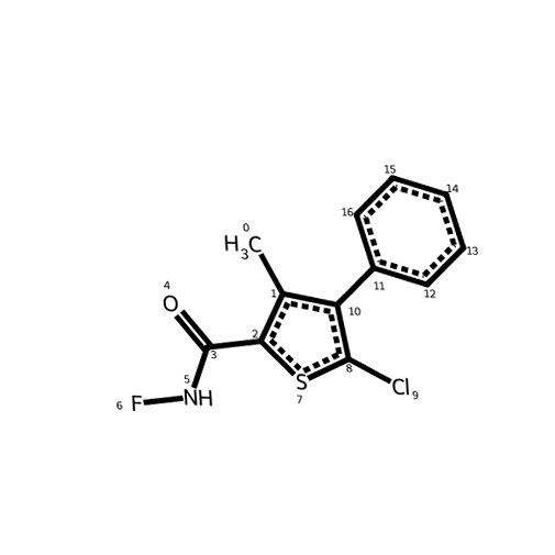 Cc1c(C(=O)NF)sc(Cl)c1-c1ccccc1